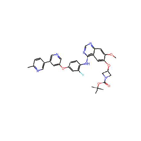 COc1cc2ncnc(Nc3ccc(Oc4cncc(-c5ccc(C)nc5)c4)cc3F)c2cc1OC1CN(C(=O)OC(C)(C)C)C1